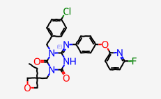 CCC1(Cn2c(=O)[nH]/c(=N\c3ccc(Oc4cccc(F)n4)cc3)n(Cc3ccc(Cl)cc3)c2=O)COC1